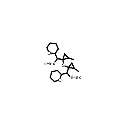 CCCCCCC(C1CCCCO1)C1(SC2(C(CCCCCC)C3CCCCO3)CC2C)CC1C